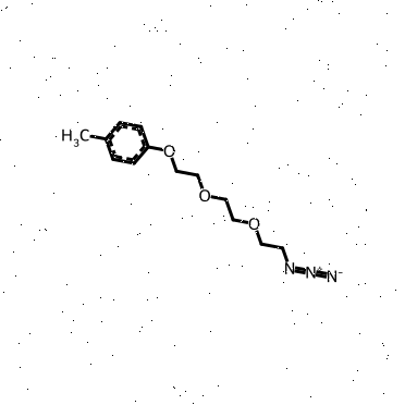 Cc1ccc(OCCOCCOCCN=[N+]=[N-])cc1